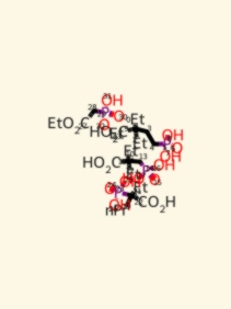 CCC(CC)(CCP(=O)(O)O)C(=O)O.CCC(CC)(CP(=O)(O)O)C(=O)O.CCCC(CC)(C(=O)O)P(=O)(O)O.CCOC(=O)CP(=O)(O)OCC